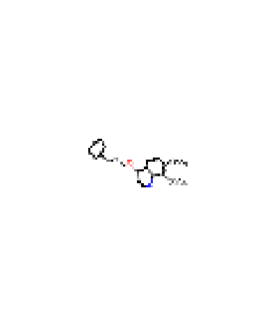 COc1ccc2c(OCCCc3ccccc3)ccnc2c1OC